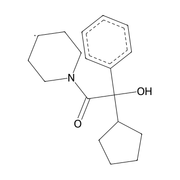 O=C(N1CC[CH]CC1)C(O)(c1ccccc1)C1CCCC1